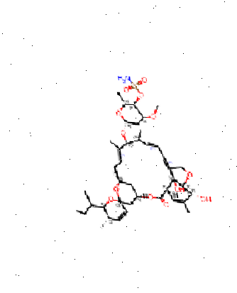 CCC(C)[C@H]1O[C@]2(C=C[C@@H]1C)C[C@@H]1C[C@@H](C/C=C(\C)[C@@H](O[C@H]3C[C@H](OC)[C@H](OS(N)(=O)=O)[C@H](C)O3)[C@@H](C)/C=C/C=C3\CO[C@@H]4[C@H](O)C(C)=C[C@@H](C(=O)O1)[C@]34O)O2